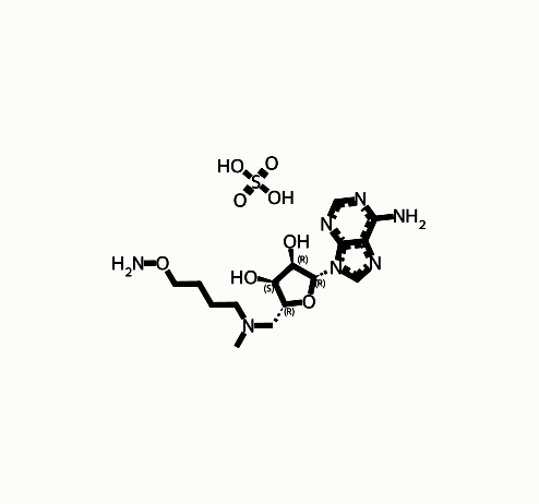 CN(CCCCON)C[C@H]1O[C@@H](n2cnc3c(N)ncnc32)[C@H](O)[C@@H]1O.O=S(=O)(O)O